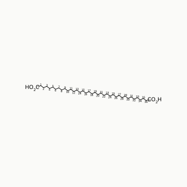 O=C(O)CCCCCCCCCCCCCCCCCCCCCCCCCCCCCCCCCCCCC(=O)O